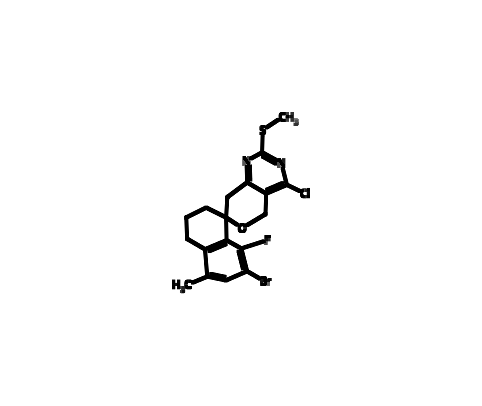 CSc1nc(Cl)c2c(n1)CC1(CCCc3c(C)cc(Br)c(F)c31)OC2